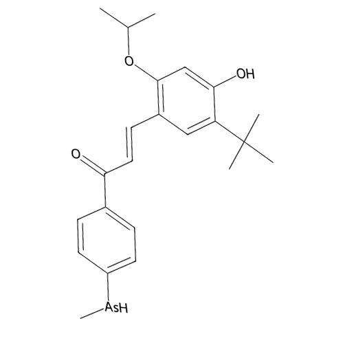 C[AsH]c1ccc(C(=O)C=Cc2cc(C(C)(C)C)c(O)cc2OC(C)C)cc1